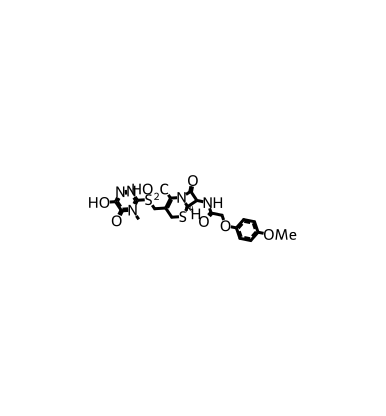 COc1ccc(OCC(=O)NC2C(=O)N3C(C(=O)O)=C(CSc4nnc(O)c(=O)n4C)CS[C@H]23)cc1